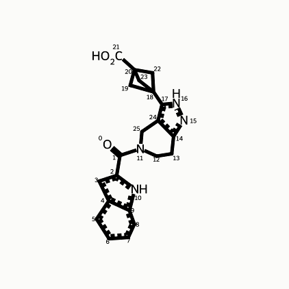 O=C(c1cc2ccccc2[nH]1)N1CCc2n[nH]c(C34CC(C(=O)O)(C3)C4)c2C1